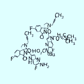 CC#CCN1CC[C@@]2(C1=O)c1ccc(F)cc1C(=O)N2Cc1cc2nc(N(C(=O)O)C(C)(C)C)c(F)cc2n1COCC[Si](C)(C)C.CC#CCN1CC[C@@]2(C1=O)c1ccc(F)cc1C(=O)N2Cc1cc2nc(N)c(F)cc2[nH]1